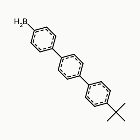 Bc1ccc(-c2ccc(-c3ccc(C(C)(C)C)cc3)cc2)cc1